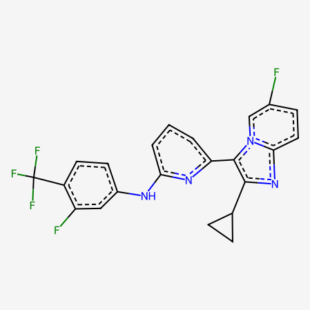 Fc1ccc2nc(C3CC3)c(-c3cccc(Nc4ccc(C(F)(F)F)c(F)c4)n3)n2c1